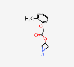 Cc1ccccc1OCC(=O)OC1CNC1